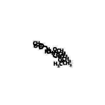 COc1ccc(Cn2cc(N3CCN(C(=O)OC(C)(C)C)C(C)(C)C3=O)cn2)cc1